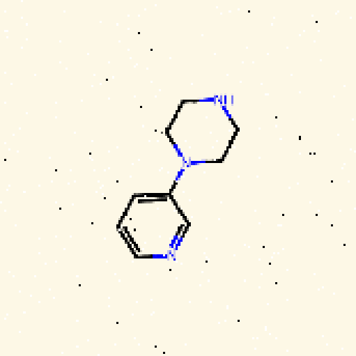 [CH]1CNCCN1c1cccnc1